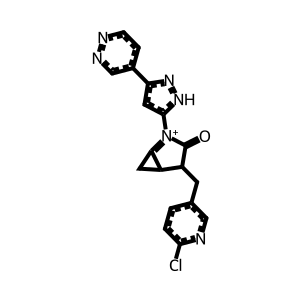 O=C1C(Cc2ccc(Cl)nc2)C2CC2=[N+]1c1cc(-c2ccnnc2)n[nH]1